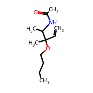 C=CC(C)(OCCCC)C(C)NC(C)=O